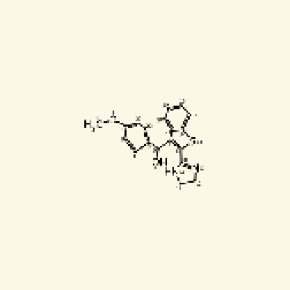 COc1ccc(C(O)c2c(C3=NCCN3)sc3ccccc23)cc1